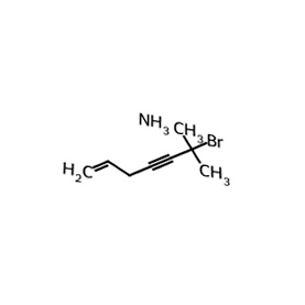 C=CCC#CC(C)(C)Br.N